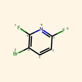 Fc1c[c]c(Br)c(F)n1